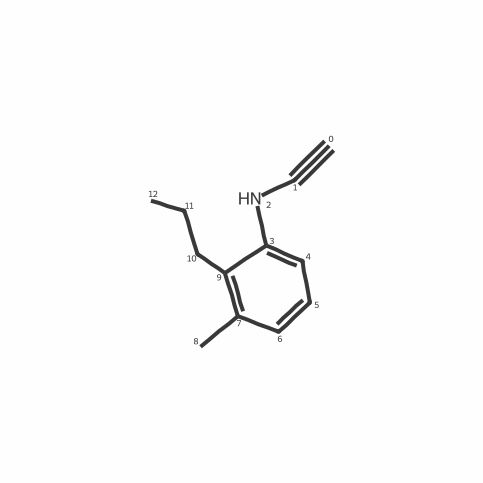 C#CNc1cccc(C)c1CCC